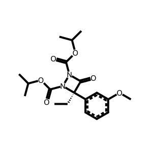 CC[C@@]1(c2cccc(OC)c2)C(=O)N(C(=O)OC(C)C)N1C(=O)OC(C)C